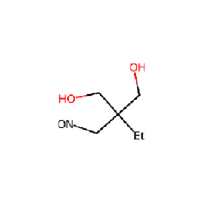 CCC(CO)(CO)CN=O